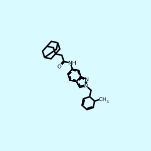 CC1C=CC=CC1Cn1cc2ccc(NC(=O)CC34CC5CC(CC(C5)C3)C4)cc2n1